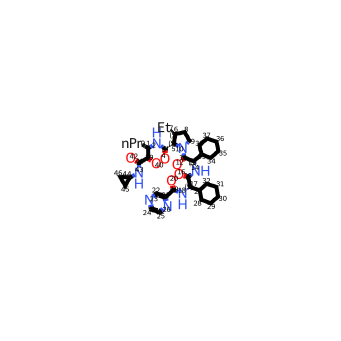 CCCC(NC(=O)[C@@H]1[C@@H](CC)CCN1C(=O)[C@@H](NC(=O)[C@@H](NC(=O)c1cnccn1)C1CCCCC1)C1CCCCC1)C(=O)C(=O)NC1CC1